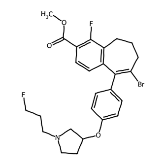 COC(=O)c1ccc2c(c1F)CCCC(Br)=C2c1ccc(OC2CCN(CCCF)C2)cc1